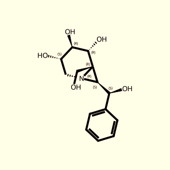 OC[C@]12[C@@H](O)[C@H](O)[C@@H](O)C[N@@]1[C@@H]2[C@@H](O)c1ccccc1